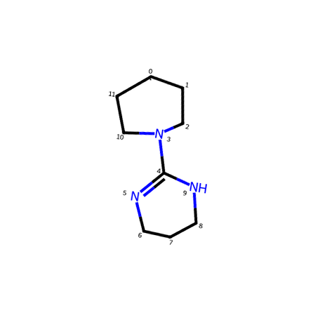 [CH]1CCN(C2=NCCCN2)CC1